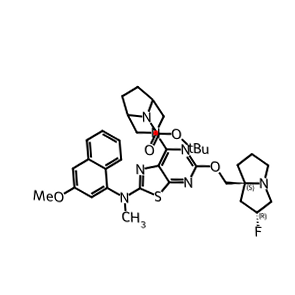 COc1cc(N(C)c2nc3c(N4CC5CCC(C4)N5C(=O)OC(C)(C)C)nc(OC[C@@]45CCCN4C[C@H](F)C5)nc3s2)c2ccccc2c1